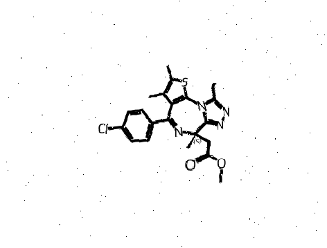 COC(=O)C[C@]1(C)N=C(c2ccc(Cl)cc2)c2c(sc(C)c2C)-n2c(C)nnc21